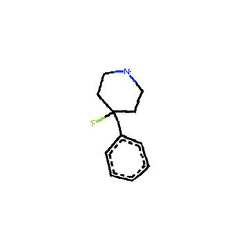 FC1(c2ccccc2)CC[N]CC1